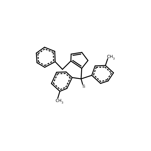 Cc1cccc([C]([Ti])(C2=C(Cc3ccccc3)C=CC2)c2cccc(C)c2)c1